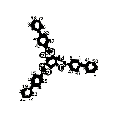 c1ccc(-c2ccc(B3OC4C5OB(c6ccc(-c7ccccc7)cc6)OC5C5OB(c6ccc(-c7ccccc7)cc6)OC5C4O3)cc2)cc1